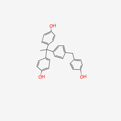 CC(c1ccc(O)cc1)(c1ccc(O)cc1)c1ccc(Cc2ccc(O)cc2)cc1